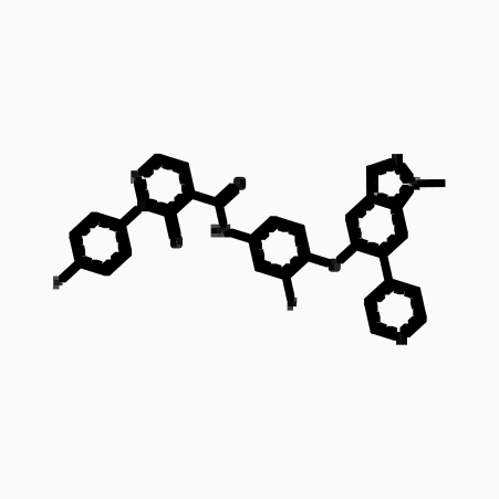 Cn1ncc2cc(Oc3ccc(NC(=O)c4ccnn(-c5ccc(F)cc5)c4=O)cc3F)c(-c3ccncc3)cc21